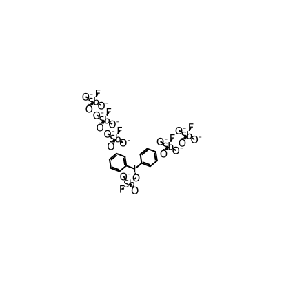 [O]=[Sb]([O-])([F])[O]I(c1ccccc1)c1ccccc1.[O]=[Sb]([O-])([O-])[F].[O]=[Sb]([O-])([O-])[F].[O]=[Sb]([O-])([O-])[F].[O]=[Sb]([O-])([O-])[F].[O]=[Sb]([O-])([O-])[F]